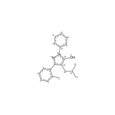 Cc1ccccc1-c1nn(-c2ccccc2)c(O)c1CC(C)C